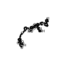 CC1(C)CCC(CN2CCN(c3ccc(C(=O)NS(=O)(=O)c4ccc(NCC5CCCN(CCCOCCC#Cc6ccc7c(c6)C(=O)N(C6CCC(=O)NC6=O)C7=O)C5)c([N+](=O)[O-])c4)c(Oc4cnc5[nH]ccc5c4)c3)CC2)=C(c2ccc(Cl)cc2)C1